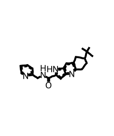 CC(C)(C)C1CCc2nc3cc(C(=O)NCc4ccccn4)[nH]c3cc2C1